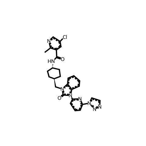 Cc1ncc(Cl)cc1C(=O)N[C@H]1CC[C@H](Cn2c(=O)n(-c3cccc(-n4ccnn4)n3)c3ccccc32)CC1